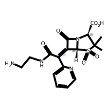 CC1(C)[C@H](C(=O)O)N2C(=O)/C(=C(\C(=O)NCCN)c3ccccn3)[C@H]2S1(=O)=O